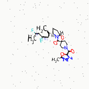 C=C(/C=C(F)\C=C(/C)F)[C@@H]1CC[C@H]2OC3(CCN(C(=O)c4nnc(C)o4)CC3)C(=O)N21